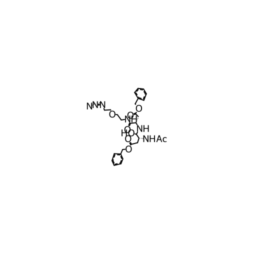 CC(=O)N[C@H](CC(=O)OCc1ccccc1)C(O)N[C@@H](CC(=O)OCc1ccccc1)C(=O)NCCOCCN=[N+]=[N-]